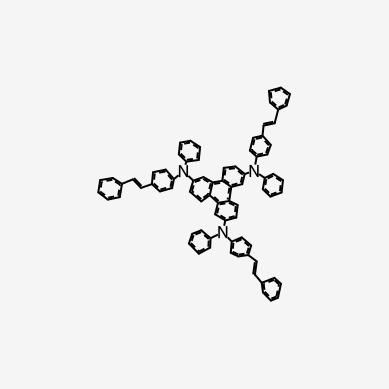 C(=C\c1ccc(N(c2ccccc2)c2ccc3c(c2)c2ccc(N(c4ccccc4)c4ccc(/C=C/c5ccccc5)cc4)cc2c2ccc(N(c4ccccc4)c4ccc(/C=C/c5ccccc5)cc4)cc32)cc1)/c1ccccc1